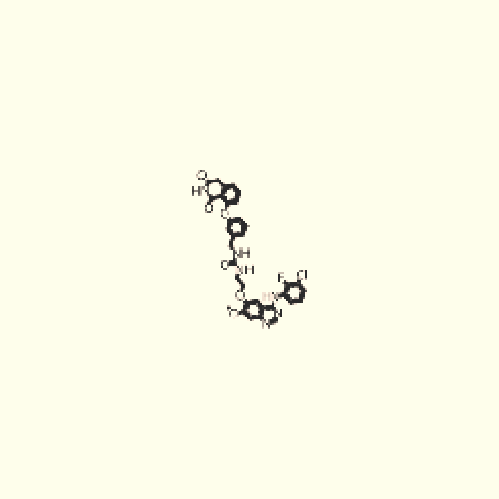 COc1cc2ncnc(Nc3cccc(Cl)c3F)c2cc1OCCNC(=O)NCc1cccc(Oc2cccc3c2C(=O)NC(=O)C3)c1